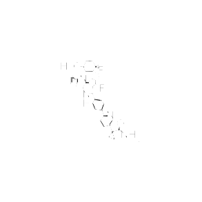 CC(C)C[C@H](N[C@@H](c1ccc(-c2ccc(C3(C(N)=O)CC3)cn2)cc1)C(F)(F)F)C(=O)N[C@@H]1C(=O)C(F)(F)CCC1C